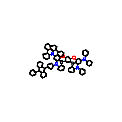 c1ccc(-c2ccccc2N(c2cc3c4c(c2)N(c2ccc(-c5c6ccccc6c(-c6ccccc6)c6ccccc56)cc2)c2ccccc2B4c2cc4c(cc2O3)Oc2cc(N(c3ccccc3)c3ccccc3)cc3c2B4c2ccccc2N3c2ccccc2)c2ccccc2-c2ccccc2)cc1